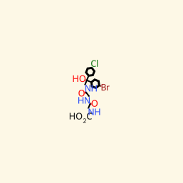 O=C(O)NCC(=O)NCC(=O)NCC(O)(c1ccc(Cl)cc1)c1ccc(Br)cc1